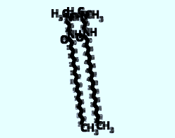 CCCCCCCCCCCCCCCCCCCCCC(=O)NCCCN(C)C.CCCCCCCCCCCCCCCCCCCCCC(=O)NCCCN(C)C